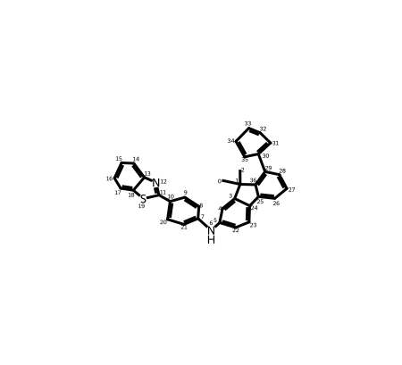 CC1(C)c2cc(Nc3ccc(-c4nc5ccccc5s4)cc3)ccc2-c2cccc(-c3ccccc3)c21